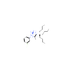 CCC[CH2][Sn]([CH2]CCC)([CH2]CCC)[c]1nnn(-c2cccc(F)c2)c1C